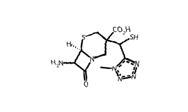 Cn1nnnc1C(S)C1(C(=O)O)CS[C@@H]2C(N)C(=O)N2C1